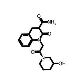 NC(=O)C1Cc2ccccc2N(CC(=O)N2CCCC(O)C2)C1=O